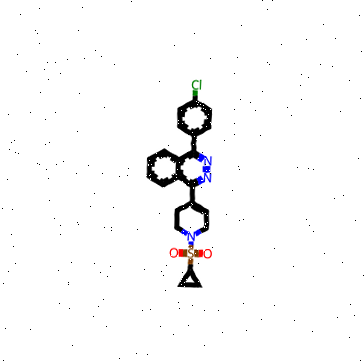 O=S(=O)(C1CC1)N1CC=C(c2nnc(-c3ccc(Cl)cc3)c3ccccc23)CC1